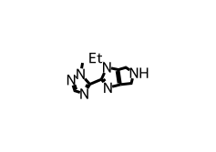 CCn1c(-c2ncnn2C)nc2c1CNC2